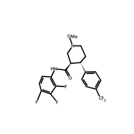 CON1CC[C@H](c2ccc(C(F)(F)F)cc2)[C@@H](C(=O)Nc2ccc(F)c(F)c2F)C1